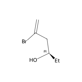 C=C(Br)C[C@H](O)CC